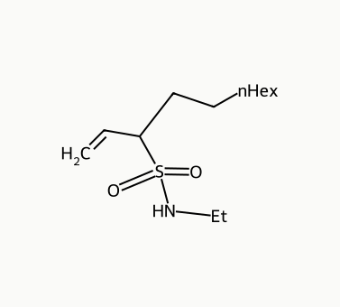 C=CC(CCCCCCCC)S(=O)(=O)NCC